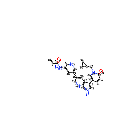 C=CC(=O)Nc1cncc(-c2cnc3[nH]cc(-c4ccc(=O)n(CC5CC5)c4)c3c2)c1